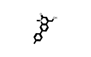 Cc1ccc(-c2ccc3c(CO)cc(=O)n(C)c3c2)cc1